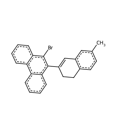 Cc1ccc2c(c1)C=C(c1c(Br)c3ccccc3c3ccccc13)CC2